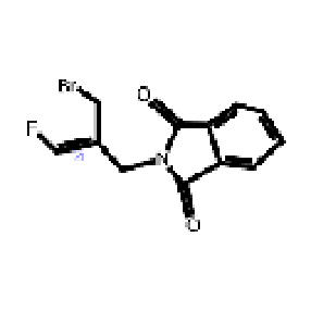 O=C1c2ccccc2C(=O)N1C/C(=C/F)CBr